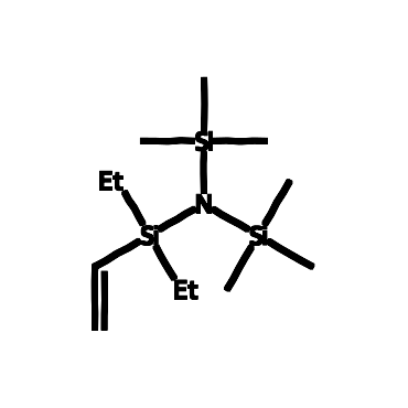 C=C[Si](CC)(CC)N([Si](C)(C)C)[Si](C)(C)C